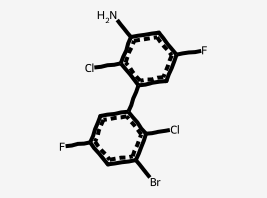 Nc1cc(F)cc(-c2cc(F)cc(Br)c2Cl)c1Cl